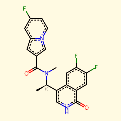 C[C@H](c1c[nH]c(=O)c2cc(F)c(F)cc12)N(C)C(=O)c1cc2cc(F)ccn2c1